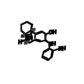 CNc1ccccc1Nc1cc2c(cc1O)[C@@]13CCCC[C@H]1[C@@H](C2)NCC3